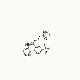 NC(=O)CCC[C@H](Nc1cccnc1)c1cccc(C(F)(F)F)c1